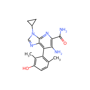 Cc1ccc(O)c(C)c1-c1c(N)c(C(N)=O)nc2c1ncn2C1CC1